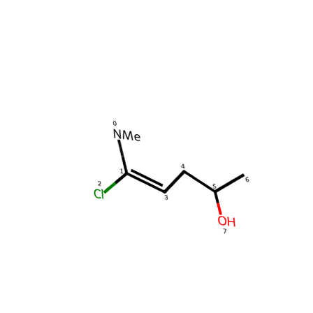 CN/C(Cl)=C\CC(C)O